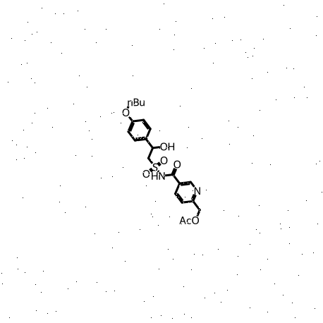 CCCCOc1ccc(C(O)CS(=O)(=O)NC(=O)c2ccc(COC(C)=O)nc2)cc1